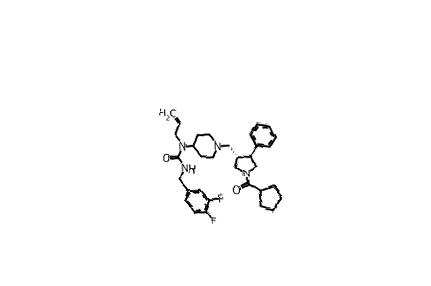 C=CCN(C(=O)NCc1ccc(F)c(F)c1)C1CCN(C[C@H]2CN(C(=O)C3CCCC3)C[C@@H]2c2ccccc2)CC1